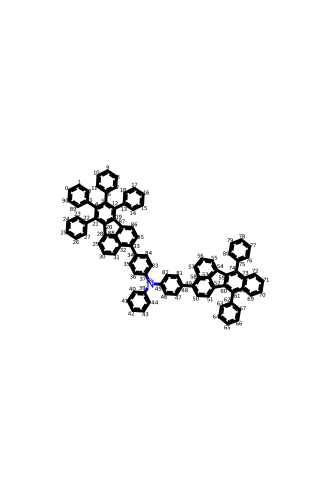 c1ccc(-c2c(-c3ccccc3)c(-c3ccccc3)c3c(c2-c2ccccc2)-c2cccc4c(-c5ccc(N(c6ccccc6)c6ccc(-c7ccc8c9c(cccc79)-c7c-8c(-c8ccccc8)c8ccccc8c7-c7ccccc7)cc6)cc5)ccc-3c24)cc1